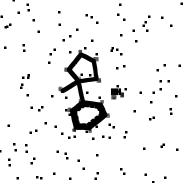 CC1(c2ccccc2)CCCC1.N